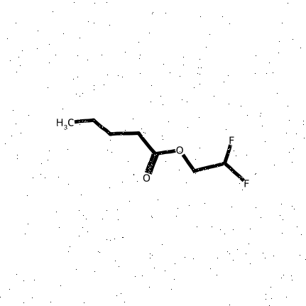 CCCCC(=O)OCC(F)F